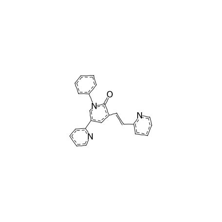 O=c1c(C=Cc2ccccn2)cc(-c2ccccn2)cn1-c1ccccc1